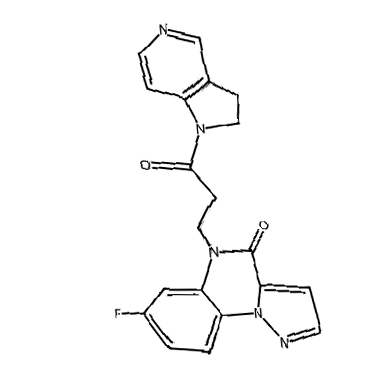 O=C(CCn1c(=O)c2ccnn2c2ccc(F)cc21)N1CCc2cnccc21